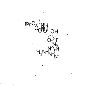 CC(C)OC(=O)[C@@H](C)N[PH](=O)OC[C@H]1O[C@@H](n2cnc3c(N(C)C)nc(N)nc32)[C@](C)(F)[C@@H]1O